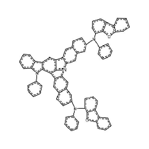 c1ccc(N(c2ccc3cc4c5cc6c7ccccc7n(-c7ccccc7)c6c6c7cc8ccc(N(c9ccccc9)c9cccc%10c9oc9ccccc9%10)cc8cc7n(c4cc3c2)c56)c2cccc3c2oc2ccccc23)cc1